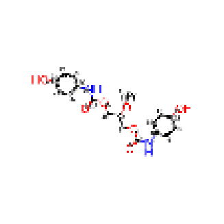 CCCOC(COC(=O)Nc1ccc(O)cc1)COC(=O)Nc1ccc(O)cc1